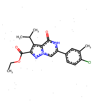 CCOC(=O)c1nn2cc(-c3ccc(Cl)c(C)c3)[nH]c(=O)c2c1C(C)C